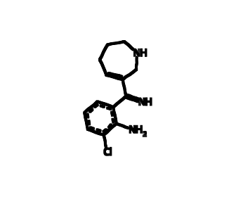 N=C(C1=CCCCNC1)c1cccc(Cl)c1N